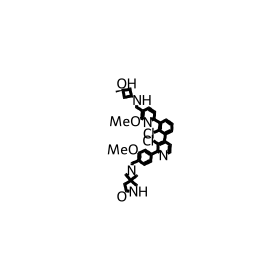 COc1cc(-c2nccc(-c3cccc(-c4ccc(CN[C@H]5C[C@@](C)(O)C5)c(OC)n4)c3Cl)c2Cl)ccc1CN1CC2(CNC(=O)C2)C1